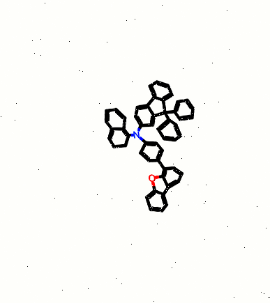 C1=c2ccccc2=C(N(c2ccc(-c3cccc4c3oc3ccccc34)cc2)c2ccc3c(c2)C(c2ccccc2)(c2ccccc2)c2ccccc2-3)CC1